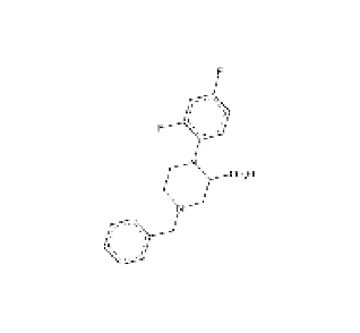 CCOC(=O)C1CN(Cc2ccccc2)CCN1c1ccc(F)cc1F